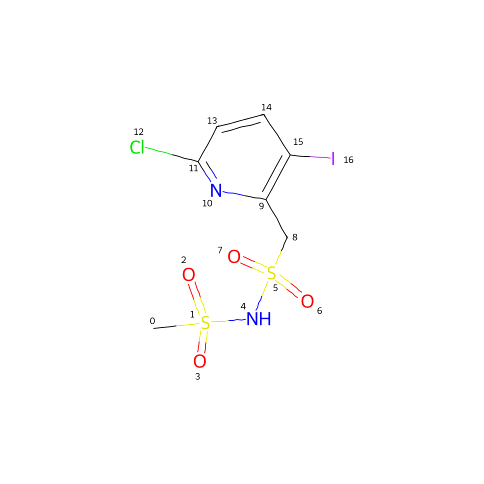 CS(=O)(=O)NS(=O)(=O)Cc1nc(Cl)ccc1I